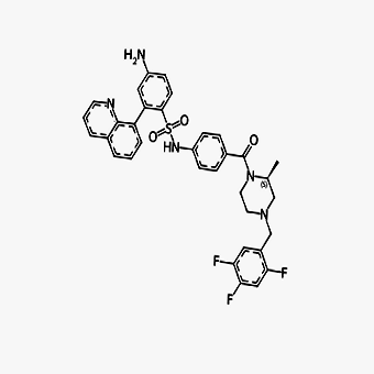 C[C@H]1CN(Cc2cc(F)c(F)cc2F)CCN1C(=O)c1ccc(NS(=O)(=O)c2ccc(N)cc2-c2cccc3cccnc23)cc1